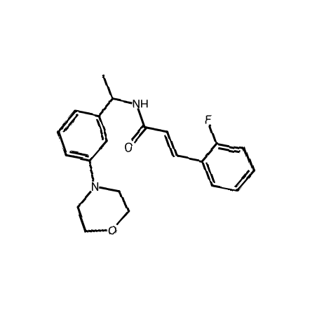 CC(NC(=O)C=Cc1ccccc1F)c1cccc(N2CCOCC2)c1